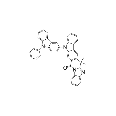 CC1(C)c2cc3c4ccccc4n(-c4ccc5c(c4)c4ccccc4n5-c4ccccc4)c3cc2C(=O)n2c1nc1ccccc12